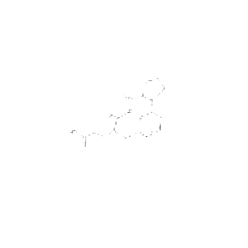 O=C(O)CCC(Cc1ccccc1)C(=O)OC(=O)[C@@H]1CCCN1